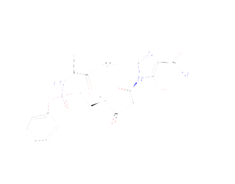 COC(=O)C(C)NP(=O)(OC[C@H]1O[C@@H](n2cnc(C(N)=O)c2O)CC1=O)Oc1ccccc1